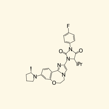 CC(C)C1C(=O)N(c2ccc(F)cc2)C(=O)N1c1cn2c(n1)-c1ccc(N3CCC[C@H]3C)cc1OCC2